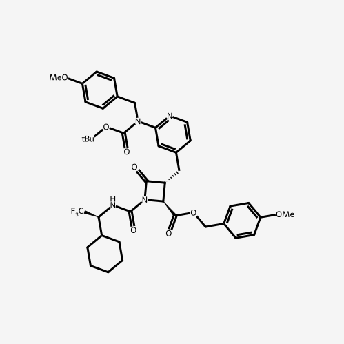 COc1ccc(COC(=O)[C@@H]2[C@@H](Cc3ccnc(N(Cc4ccc(OC)cc4)C(=O)OC(C)(C)C)c3)C(=O)N2C(=O)N[C@@H](C2CCCCC2)C(F)(F)F)cc1